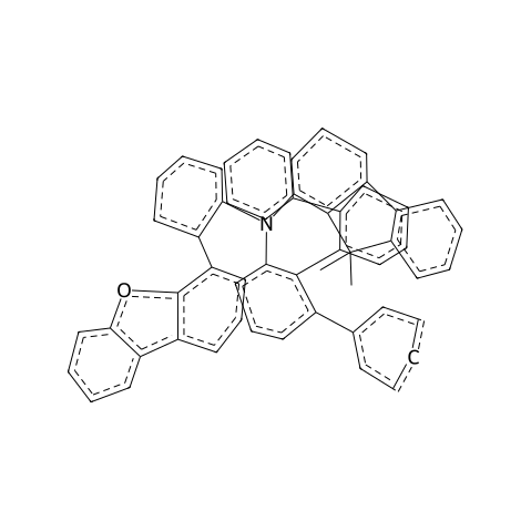 CC1(C)c2ccccc2-c2cccc(N(c3ccccc3-c3cccc4c3oc3ccccc34)c3cccc(-c4ccccc4)c3-c3ccccc3-c3ccccc3)c21